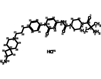 CC(C)(N)C(=O)N1CCN(C(=O)Nc2ccn(-c3ccc(CCCN4CCC5(CC4)CC(N)C5)cc3)c(=O)n2)CC1.Cl